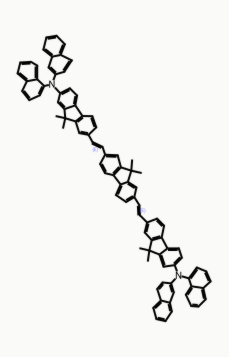 CC1(C)c2cc(/C=C/c3ccc4c(c3)C(C)(C)c3cc(N(c5ccc6ccccc6c5)c5cccc6ccccc56)ccc3-4)ccc2-c2ccc(/C=C/c3ccc4c(c3)C(C)(C)c3cc(N(c5ccc6ccccc6c5)c5cccc6ccccc56)ccc3-4)cc21